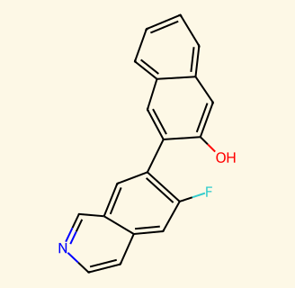 Oc1cc2ccccc2cc1-c1cc2cnccc2cc1F